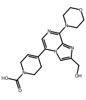 O=C(O)N1CC=C(c2cnc(N3CCOCC3)c3nc(CO)cn23)CC1